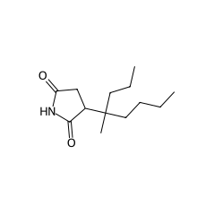 CCCCC(C)(CCC)C1CC(=O)NC1=O